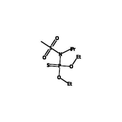 CCOP(=S)(OCC)N(C(C)C)S(C)(=O)=O